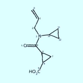 C=CCN(C(=O)C1CC1C(=O)O)C1CC1